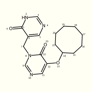 O=c1[nH]cncc1Cn1cncc(OC2CCCCCCC2)c1=O